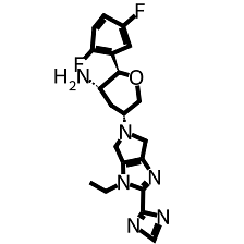 CCn1c(C2=NC=N2)nc2c1CN([C@H]1CO[C@H](c3cc(F)ccc3F)[C@@H](N)C1)C2